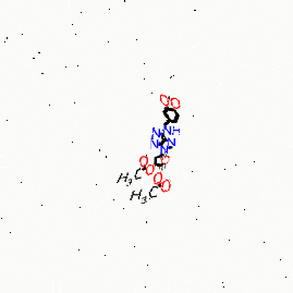 CC(=O)OC[C@H]1O[C@@H](n2cnc3c(NCc4ccc5c(c4)OCO5)ncnc32)CC1OC(C)=O